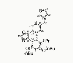 CCCCOc1cc(OCCCC)c(C(C)C)cc1-c1ncoc1-c1ccc(Cn2ccnc2)cc1